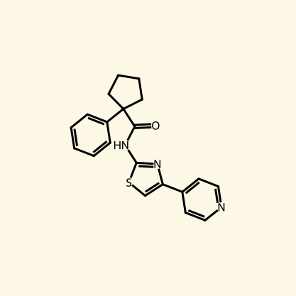 O=C(Nc1nc(-c2ccncc2)cs1)C1(c2ccccc2)CCCC1